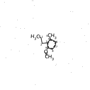 CCCc1c(C)c[c]cc1OC